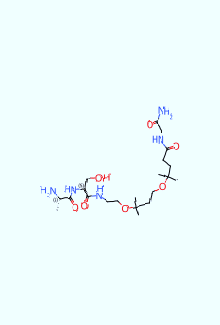 C[C@H](N)C(=O)N[C@@H](CO)C(=O)NCCOC(C)(C)CCOC(C)(C)CCC(=O)NCC(N)=O